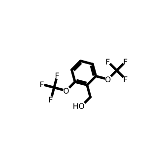 OCc1c(OC(F)(F)F)cccc1OC(F)(F)F